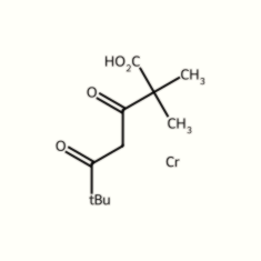 CC(C)(C)C(=O)CC(=O)C(C)(C)C(=O)O.[Cr]